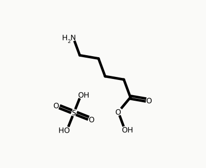 NCCCCC(=O)OO.O=S(=O)(O)O